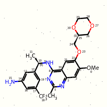 COc1cc2nc(C)nc(N[C@H](C)c3cc(N)cc(C(F)(F)F)c3)c2cc1OC[C@@H]1COCCO1